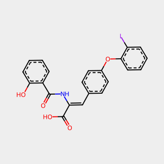 O=C(O)C(=Cc1ccc(Oc2ccccc2I)cc1)NC(=O)c1ccccc1O